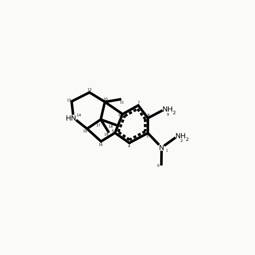 CN(N)c1cc2c(cc1N)C1(C)CCNC(C2)C1(C)C